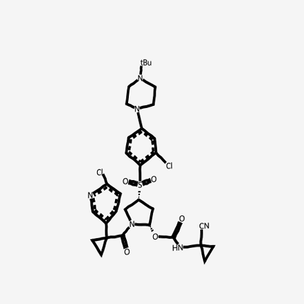 CC(C)(C)N1CCN(c2ccc(S(=O)(=O)[C@@H]3C[C@H](OC(=O)NC4(C#N)CC4)N(C(=O)C4(c5ccc(Cl)nc5)CC4)C3)c(Cl)c2)CC1